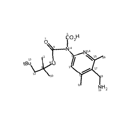 Cc1cc(N(C(=O)O)C(=O)OC(C)(C)CC(C)(C)C)nc(C)c1CN